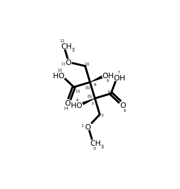 COC[C@@](O)(C(=O)O)[C@@](O)(COC)C(=O)O